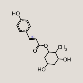 CC1C(O)CC(O)CC1OC(=O)/C=C/c1ccc(O)cc1